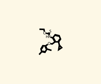 CCOC(=S)Nc1cccc(C2CC2)c1COc1ccc(C)cc1C